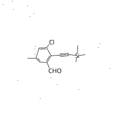 Cc1cc(Cl)c(C#C[Si](C)(C)C)c(C=O)c1